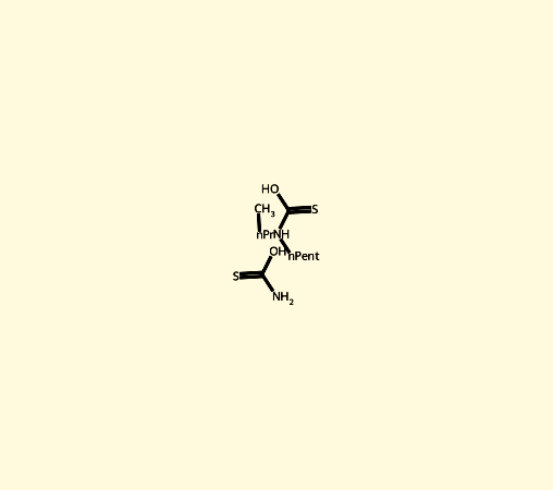 CCCC.CCCCCNC(O)=S.NC(O)=S